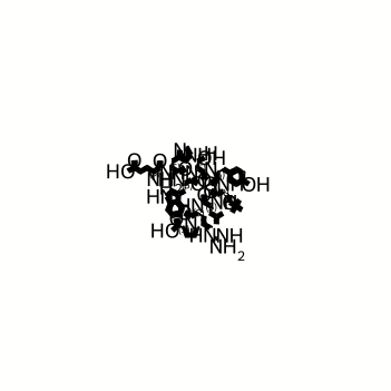 CC(C)C[C@H](NC(=O)[C@@H](COC(C)(C)C)NC(=O)[C@H](Cc1ccc(O)cc1)NC(=O)[C@H](CO)NC(=O)[C@H](Cc1c[nH]c2ccccc12)NC(=O)[C@H](Cc1c[nH]cn1)NC(=O)[C@@H](N)CCC(=O)O)C(=O)N[C@@H](CCCNC(=N)N)C(=O)N1CCC[C@H]1C(=O)O